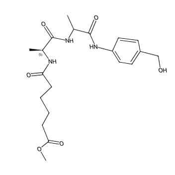 COC(=O)CCCCC(=O)N[C@@H](C)C(=O)NC(C)C(=O)Nc1ccc(CO)cc1